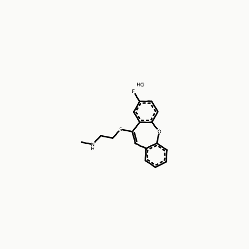 CNCCSC1=Cc2ccccc2Oc2ccc(F)cc21.Cl